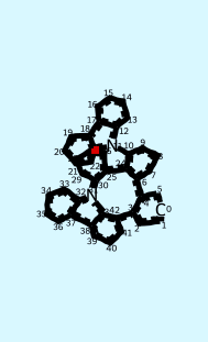 c1ccc2c(c1)c1cccc(-n3c4ccccc4c4ccccc43)c1c1ccccc1n1c3ccccc3c3cccc2c31